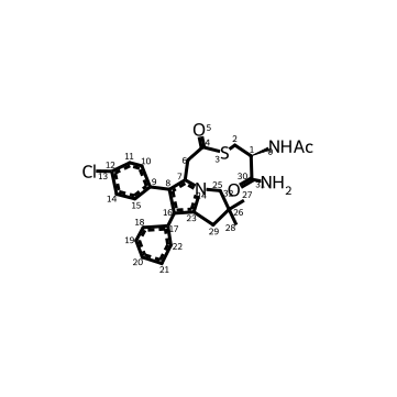 CC(=O)N[C@H](CSC(=O)Cc1c(-c2ccc(Cl)cc2)c(-c2ccccc2)c2n1CC(C)(C)C2)C(N)=O